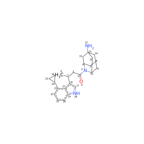 CC(CC(=O)N1C2CC3CC1CC(N)(C3)C2)c1c[nH]c2cccc(C3CC3)c12